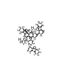 CC1(C)c2cc(-c3cccc4c3oc3ccccc34)ccc2N2c3ccc(-c4cccc5c4oc4ccccc45)cc3C(C)(C)c3c2c1cc1c3oc2ccccc21